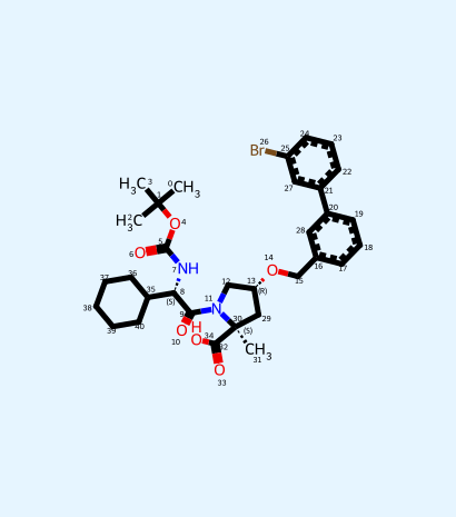 CC(C)(C)OC(=O)N[C@H](C(=O)N1C[C@H](OCc2cccc(-c3cccc(Br)c3)c2)C[C@@]1(C)C(=O)O)C1CCCCC1